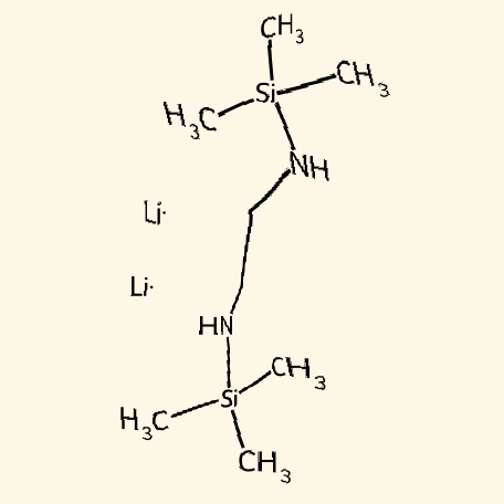 C[Si](C)(C)NCCN[Si](C)(C)C.[Li].[Li]